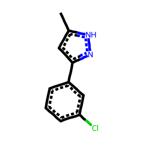 Cc1cc(-c2cccc(Cl)c2)n[nH]1